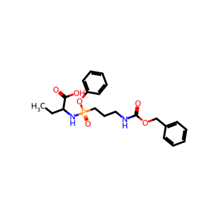 CCC(NP(=O)(CCCNC(=O)OCc1ccccc1)Oc1ccccc1)C(=O)O